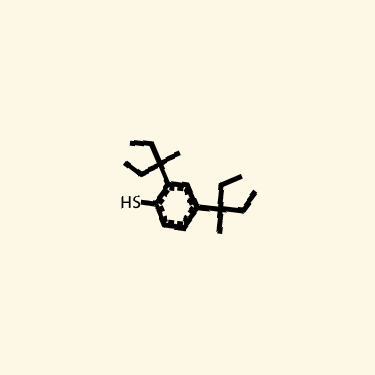 CCC(C)(CC)c1ccc(S)c(C(C)(CC)CC)c1